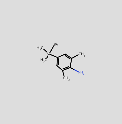 Cc1cc([Si](C)(C)C(C)C)cc(C)c1N